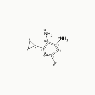 Nc1cc(F)cc(C2CC2)c1N